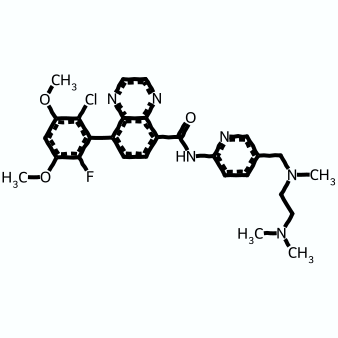 COc1cc(OC)c(Cl)c(-c2ccc(C(=O)Nc3ccc(CN(C)CCN(C)C)cn3)c3nccnc23)c1F